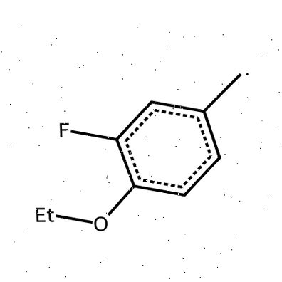 [CH2]c1ccc(OCC)c(F)c1